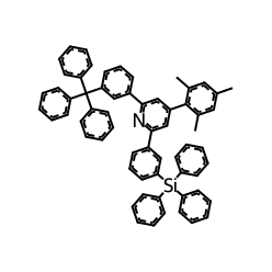 Cc1cc(C)c(-c2cc(-c3cccc(C(c4ccccc4)(c4ccccc4)c4ccccc4)c3)nc(-c3cccc([Si](c4ccccc4)(c4ccccc4)c4ccccc4)c3)c2)c(C)c1